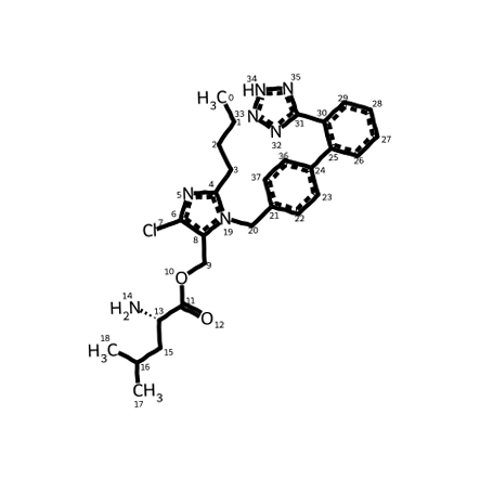 CCCCc1nc(Cl)c(COC(=O)[C@@H](N)CC(C)C)n1Cc1ccc(-c2ccccc2-c2nn[nH]n2)cc1